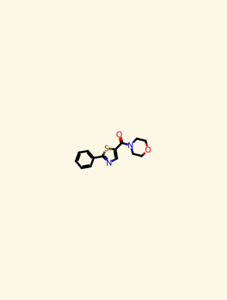 O=C(c1cnc(-c2ccccc2)s1)N1CCOCC1